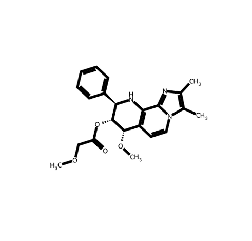 COCC(=O)O[C@@H]1[C@@H](c2ccccc2)Nc2c(ccn3c(C)c(C)nc23)[C@@H]1OC